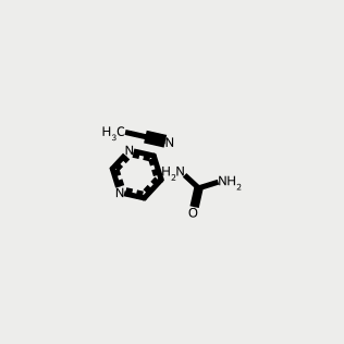 CC#N.NC(N)=O.c1cncnc1